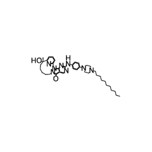 CCCCCCCCCCCN1CCN(c2ccc(Nc3ncc4c(=O)n5n(c4n3)-c3cccc(n3)[C@@](C)(O)CCCCC5)cc2)CC1